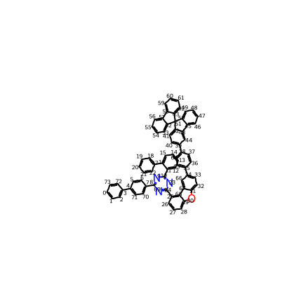 c1ccc(-c2ccc(-c3nc(-c4ccccc4-c4ccccc4)nc(-c4cccc5oc6ccc(-c7ccc(-c8ccc9c(c8)-c8ccccc8C98c9ccccc9-c9ccccc98)cc7)cc6c45)n3)cc2)cc1